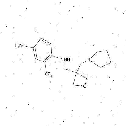 Nc1ccc(NCC2(CN3CCCC3)COC2)c(C(F)(F)F)c1